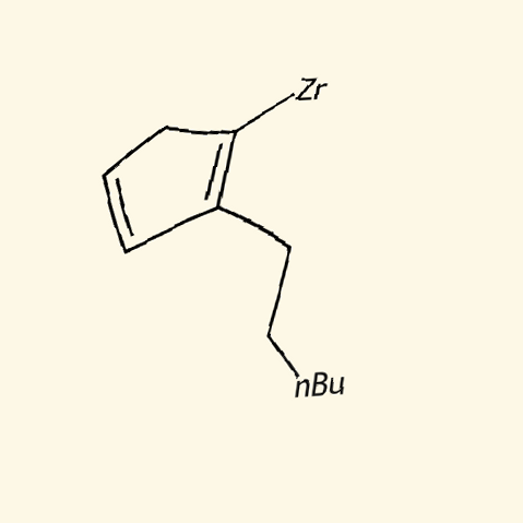 CCCCCCC1=[C]([Zr])CC=C1